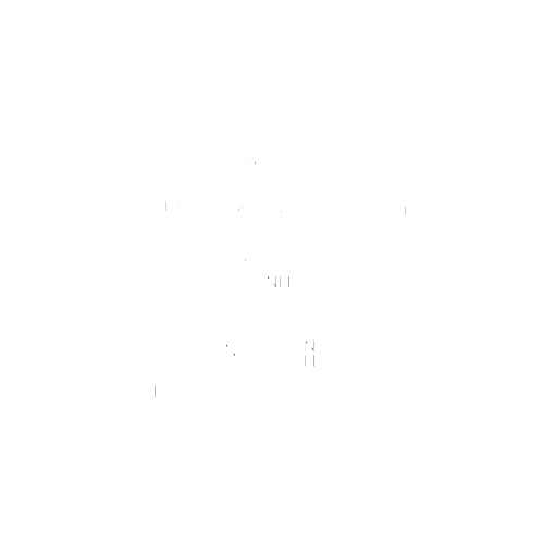 CCc1cccc(NC(=Nc2cc(CC)ccc2Cl)NOS(C)(=O)=O)c1